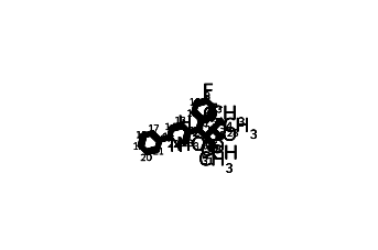 C#CC(O)(C(c1ccc(F)cc1)c1ccc(-c2ccccc2)nc1)C([PH2]=O)(C(=O)OOC)C(C)C